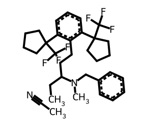 CC#N.CCC(CCc1c(C2(C(F)(F)F)CCCC2)cccc1C1(C(F)(F)F)CCCC1)N(C)Cc1ccccc1